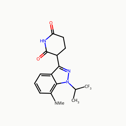 CNc1cccc2c(C3CCC(=O)NC3=O)nn(C(C)C(F)(F)F)c12